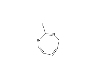 I/C1=N/C/C=C\C=C/N1